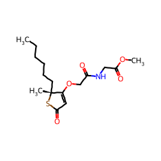 CCCCCC[C@@]1(C)SC(=O)C=C1OCC(=O)NCC(=O)OC